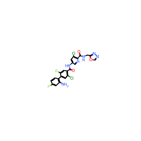 Nc1cc(F)ccc1-c1cc(Cl)c(C(=O)Nc2cnc(C(=O)NCc3nnco3)c(Cl)c2)cc1F